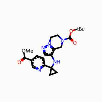 COC(=O)c1ccc(C2(Nc3cnn4c3CN(C(=O)OC(C)(C)C)CC4)CC2)nc1